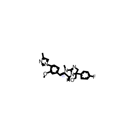 C=C1/C(=C/c2ccc(-n3cnc(C)c3)c(OC)c2)N(C)C2=NCC(CO)(c3ccc(F)cc3)N12